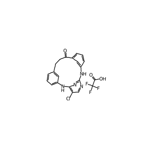 O=C(O)C(F)(F)F.O=C1CCc2cccc(c2)Nc2nc(ncc2Cl)Nc2cccc1c2